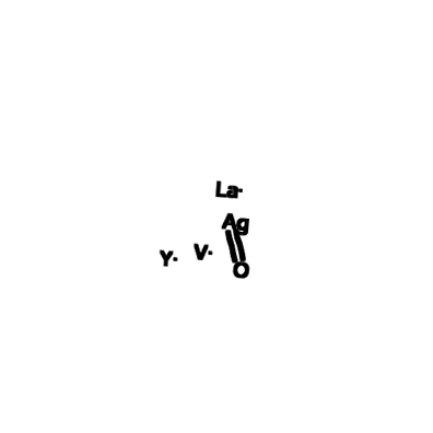 [La].[O]=[Ag].[V].[Y]